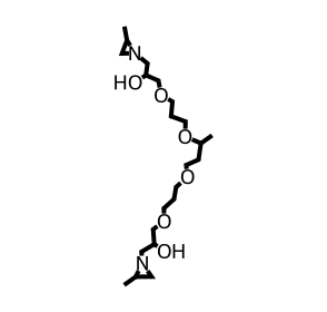 CC(CCOCCCOCC(O)CN1CC1C)OCCCOCC(O)CN1CC1C